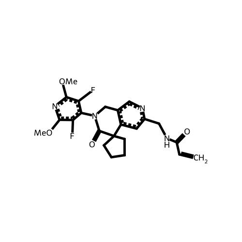 C=CC(=O)NCc1cc2c(cn1)CN(c1c(F)c(OC)nc(OC)c1F)C(=O)C21CCCC1